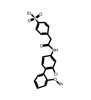 CCS(=O)(=O)c1ccc(CC(=O)Nc2ccc(-c3ccccc3OC(C)C)c(Cl)c2)cc1